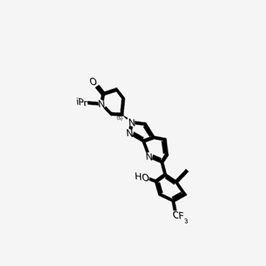 Cc1cc(C(F)(F)F)cc(O)c1-c1ccc2cn([C@H]3CCC(=O)N(C(C)C)C3)nc2n1